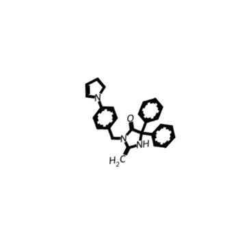 C=C1NC(c2ccccc2)(c2ccccc2)C(=O)N1Cc1ccc(N2C=CCC2)cc1